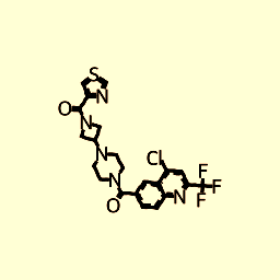 O=C(c1ccc2nc(C(F)(F)F)cc(Cl)c2c1)N1CCN(C2CN(C(=O)c3cscn3)C2)CC1